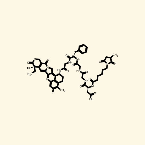 CC[C@@]1(O)C(=O)OCc2c1cc1n(c2=O)Cc2c-1nc1cc(F)c(C)c3c1c2[C@@H](NC(=O)CNC(=O)[C@H](Cc1ccccc1)NC(=O)CNC(=O)CNC(=O)[C@H](CC(=O)O)NC(=O)CCCCCN1C(=O)CC(C)C1=O)CC3